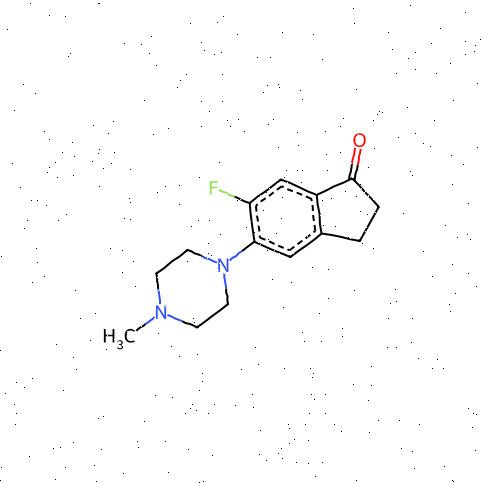 CN1CCN(c2cc3c(cc2F)C(=O)CC3)CC1